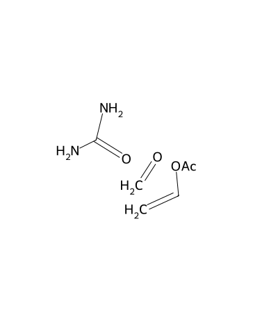 C=COC(C)=O.C=O.NC(N)=O